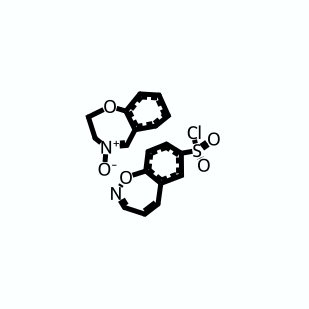 O=S(=O)(Cl)c1ccc2c(c1)C=CC=NO2.[O-][N+]1=Cc2ccccc2OCC1